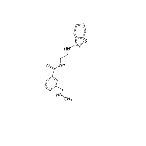 CNCc1cccc(C(=O)NCCNc2nsc3ccccc23)c1